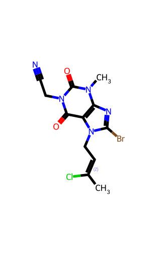 C/C(Cl)=C/Cn1c(Br)nc2c1c(=O)n(CC#N)c(=O)n2C